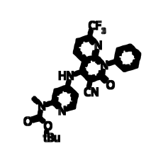 CN(C(=O)OC(C)(C)C)c1cc(Nc2c(C#N)c(=O)n(-c3ccccc3)c3nc(C(F)(F)F)ccc23)ccn1